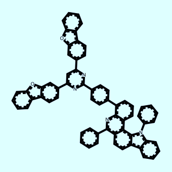 c1ccc(-c2nc3c(-c4ccc(-c5nc(-c6ccc7c(c6)oc6ccccc67)cc(-c6ccc7c(c6)oc6ccccc67)n5)cc4)cccc3c3c2ccc2c4ccccc4n(-c4ccccc4)c23)cc1